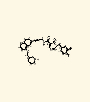 O=C(NCC#Cc1ccc2nccc(OCC3CCCNC3)c2c1)c1cncn(Cc2ccc(F)c(F)c2)c1=O